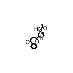 CC(=O)NN1C=CN=C(C2CCC(=O)c3ccccc3O2)C1